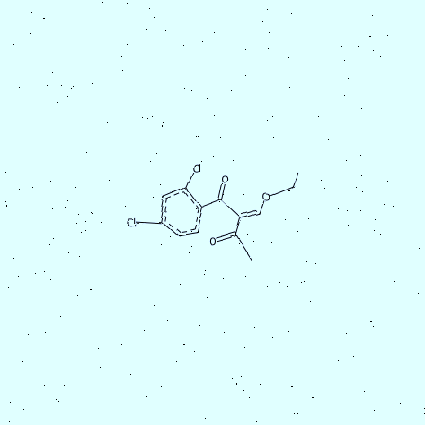 CCO/C=C(/C(C)=O)C(=O)c1ccc(Cl)cc1Cl